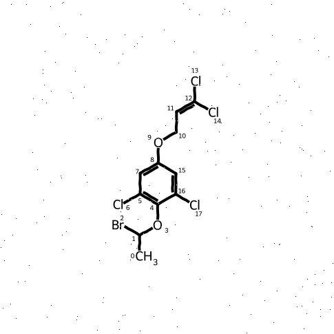 CC(Br)Oc1c(Cl)cc(OCC=C(Cl)Cl)cc1Cl